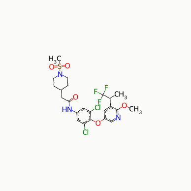 COc1ncc(Oc2c(Cl)cc(NC(=O)CC3CCN(S(C)(=O)=O)CC3)cc2Cl)cc1C(C)C(F)(F)F